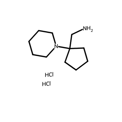 Cl.Cl.NCC1(N2CCCCC2)CCCC1